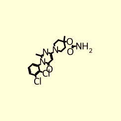 Cc1nc(N2CCC(C)(OC(N)=O)CC2)cc(=O)n1-c1cccc(Cl)c1Cl